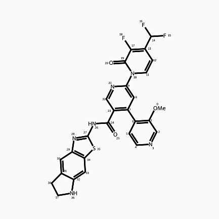 COc1cnccc1-c1cc(-n2ccc(C(F)F)c(F)c2=O)ncc1C(=O)Nc1nc2cc3c(cc2s1)NCC3